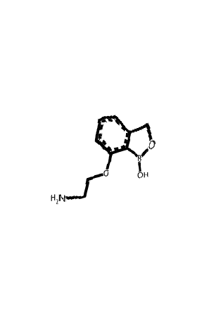 NCCOc1cccc2c1B(O)OC2